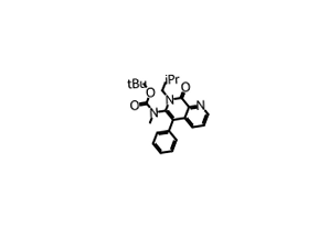 CC(C)Cn1c(N(C)C(=O)OC(C)(C)C)c(-c2ccccc2)c2cccnc2c1=O